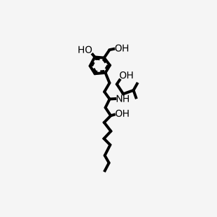 CCCCCCCC(O)CC(CCc1ccc(O)c(CO)c1)NC(CO)C(C)C